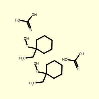 CCC1(OO)CCCCC1.CCC1(OO)CCCCC1.O=C(O)O.O=C(O)O